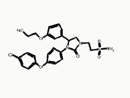 NS(=O)(=O)CCN1CC(c2cccc(OCCO)c2)N(c2ccc(Oc3ccc(Cl)cc3)cc2)C1=O